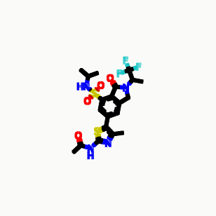 CC(=O)Nc1nc(C)c(-c2cc3c(c(S(=O)(=O)NC(C)C)c2)C(=O)N(C(C)C(F)(F)F)C3)s1